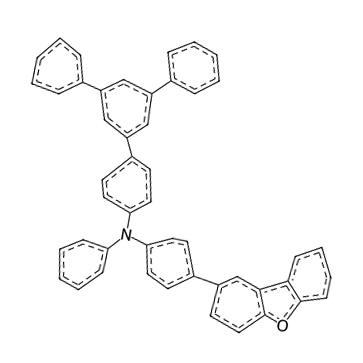 c1ccc(-c2cc(-c3ccccc3)cc(-c3ccc(N(c4ccccc4)c4ccc(-c5ccc6oc7ccccc7c6c5)cc4)cc3)c2)cc1